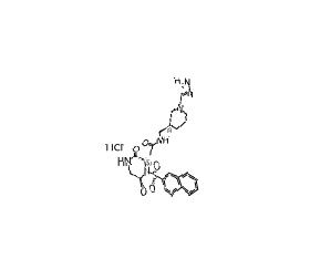 Cl.NN=CN1CCC[C@@H](CNC(=O)C[C@H]2C(=O)NCC(=O)N2S(=O)(=O)c2ccc3ccccc3c2)C1